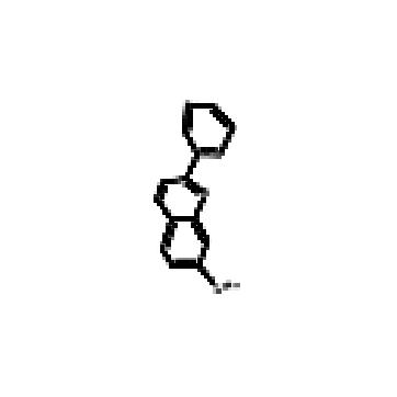 COc1ccc2c[c]c(-c3ccccc3)nc2c1